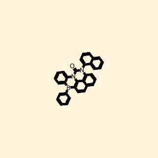 O=C1N(c2cccc3ccccc23)c2cccc3ccc4c(c23)N1c1ccccc1B4c1ccccc1